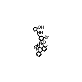 Cn1cnnc1-c1c(-c2ccccc2)ccc(F)c1-c1nc2cc(CNC3CCCC3O)cc(Br)c2o1